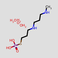 CNCCCNCCCSP(=O)(O)O.O.O.O